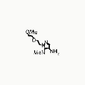 CNc1c(N)cnn1CCOCCOC